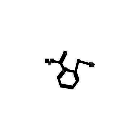 C[CH]Sc1cccc[n+]1C(N)=O